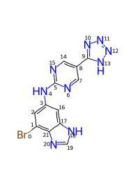 Brc1cc(Nc2ncc(-c3nnn[nH]3)cn2)cc2[nH]cnc12